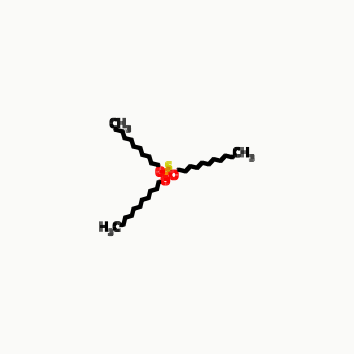 CCCCCCCCCCCOP(=S)(OCCCCCCCCCCC)OCCCCCCCCCCC